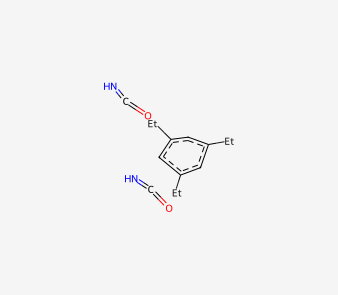 CCc1cc(CC)cc(CC)c1.N=C=O.N=C=O